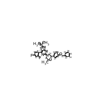 C[C@@H]1CN(c2nc(-c3ccc(F)cc3F)c3sc(N(C)C)nc3n2)C[C@H](c2ccc(OCc3ccccc3)nc2)O1